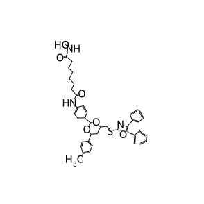 Cc1ccc(C2CC(CSc3nc(-c4ccccc4)c(-c4ccccc4)o3)OC(c3ccc(NC(=O)CCCCCCC(=O)NO)cc3)O2)cc1